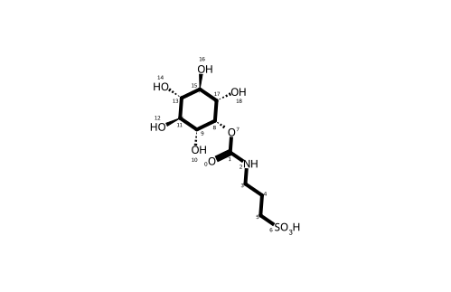 O=C(NCCCS(=O)(=O)O)O[C@@H]1[C@H](O)[C@@H](O)[C@H](O)[C@@H](O)[C@@H]1O